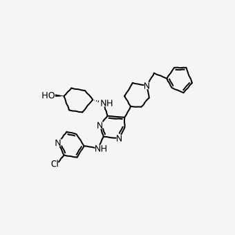 O[C@H]1CC[C@H](Nc2nc(Nc3ccnc(Cl)c3)ncc2C2CCN(Cc3ccccc3)CC2)CC1